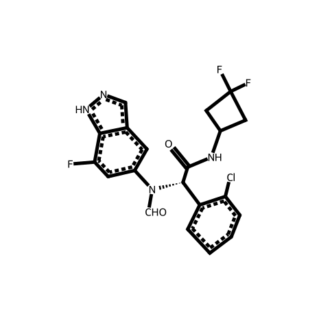 O=CN(c1cc(F)c2[nH]ncc2c1)[C@H](C(=O)NC1CC(F)(F)C1)c1ccccc1Cl